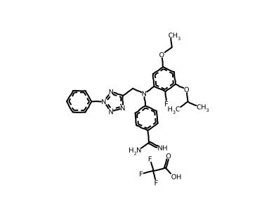 CCOc1cc(OC(C)C)c(F)c(N(Cc2nnn(-c3ccccc3)n2)c2ccc(C(=N)N)cc2)c1.O=C(O)C(F)(F)F